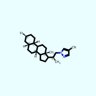 CC[C@H]1CC[C@@H]2C3CC[C@@]4(C)C(CCC4[C@H](C)Cn4cc(C#N)cn4)[C@@H]3CC[C@@H]2C1